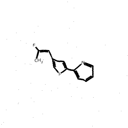 [CH2]/C(F)=C\c1csc(-c2ccccn2)c1